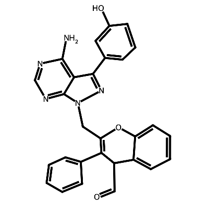 Nc1ncnc2c1c(-c1cccc(O)c1)nn2CC1=C(c2ccccc2)C(C=O)c2ccccc2O1